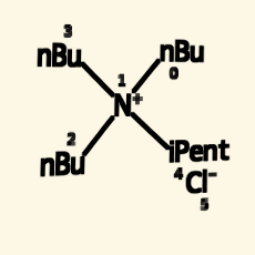 CCCC[N+](CCCC)(CCCC)C(C)CCC.[Cl-]